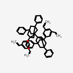 C=Cc1cc(C=C)cc(C23CC4(c5ccccc5)CC(c5ccccc5)(C2)CC(C25CC6(c7ccccc7)CC(c7ccccc7)(CC(c7cc(C=C)cc(C=C)c7)(C6)C2)C5)(C4)C3)c1